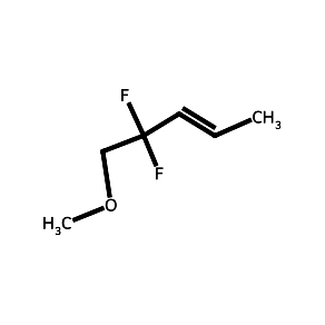 C/C=C/C(F)(F)COC